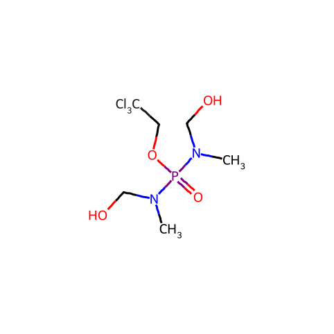 CN(CO)P(=O)(OCC(Cl)(Cl)Cl)N(C)CO